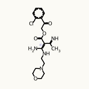 CC(=N)/C(C(=O)OCC(=O)c1ccccc1Cl)=C(/N)NCCN1CCOCC1